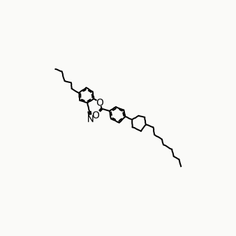 CCCCCCCCC1CCC(c2ccc(C(=O)Oc3ccc(CCCCC)cc3C#N)cc2)CC1